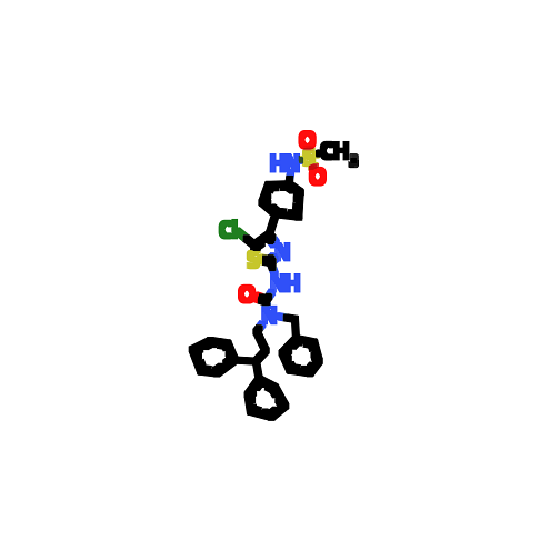 CS(=O)(=O)Nc1ccc(-c2nc(NC(=O)N(CCC(c3ccccc3)c3ccccc3)Cc3ccccc3)sc2Cl)cc1